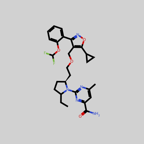 CCC1CC[C@@H](CCOCc2c(-c3ccccc3OC(F)F)noc2C2CC2)N1c1nc(C)cc(C(N)=O)n1